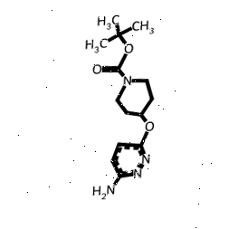 CC(C)(C)OC(=O)N1CCC(Oc2ccc(N)nn2)CC1